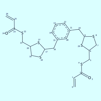 C=CC(=O)SCC1CSC(Cc2cccc(CC3SCC(CSC(=O)C=C)S3)c2)S1